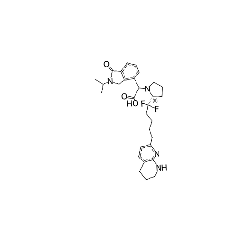 CC(C)N1Cc2c(cccc2C(C(=O)O)N2CCC[C@@H]2C(F)(F)CCCCc2ccc3c(n2)NCCC3)C1=O